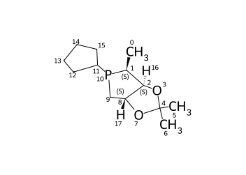 C[C@H]1[C@H]2OC(C)(C)O[C@@H]2CP1C1CCCC1